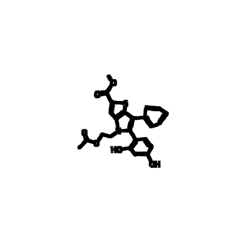 COC(=O)c1cc2c(s1)c(-c1ccccc1)c(-c1ccc(O)cc1O)n2CCOC(C)=O